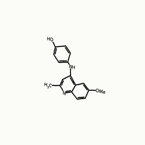 COc1ccc2nc(C)cc(Nc3ccc(O)cc3)c2c1